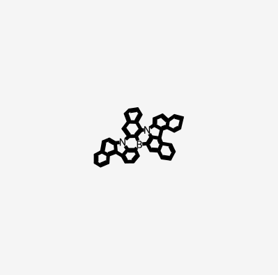 c1ccc2c3c4c(cc2c1)-n1c2ccc5ccccc5c2c2cccc(c21)B4c1cc2ccccc2c2c4c5ccccc5ccc4n-3c12